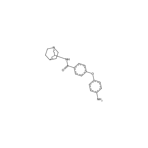 Nc1ccc(Oc2ccc(C(=O)NC3CC4CCN(CC4)C3)cc2)cc1